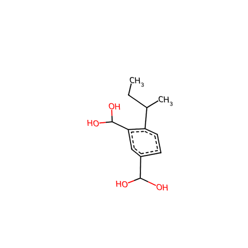 CCC(C)c1ccc(C(O)O)cc1C(O)O